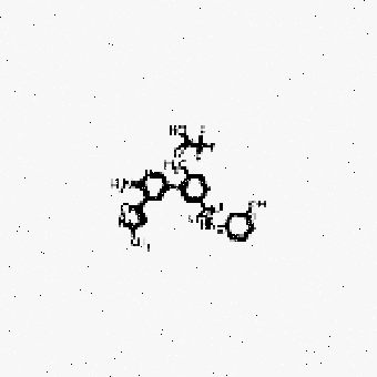 Cc1cc(-c2cc(-c3cc(S(=O)(=O)N[C@H]4CCC[C@H](O)C4)ccc3C)cnc2N)on1.O=C(O)C(F)(F)F